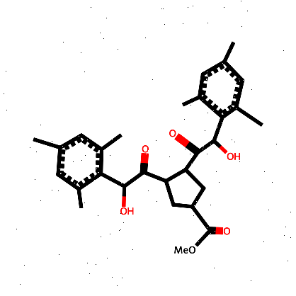 COC(=O)C1CC(C(=O)C(O)c2c(C)cc(C)cc2C)C(C(=O)C(O)c2c(C)cc(C)cc2C)C1